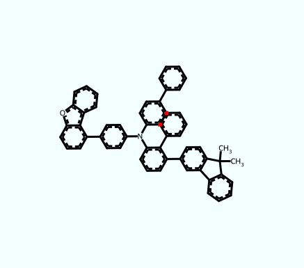 CC1(C)c2ccccc2-c2cc(-c3cccc(N(c4ccc(-c5ccccc5)cc4)c4ccc(-c5cccc6oc7ccccc7c56)cc4)c3-c3ccccc3)ccc21